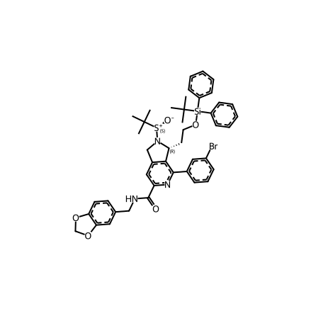 CC(C)(C)[S@@+]([O-])N1Cc2cc(C(=O)NCc3ccc4c(c3)OCO4)nc(-c3cccc(Br)c3)c2[C@H]1CCO[Si](c1ccccc1)(c1ccccc1)C(C)(C)C